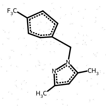 Cc1cc(C)n(Cc2ccc(C(F)(F)F)cc2)n1